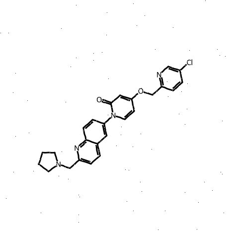 O=c1cc(OCc2ccc(Cl)cn2)ccn1-c1ccc2nc(CN3CCCC3)ccc2c1